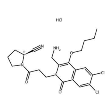 CCCCOc1c(CN)n(CCC(=O)N2CCC[C@H]2C#N)c(=O)c2cc(Cl)c(Cl)cc12.Cl